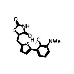 CNc1cccc(-c2ccc(CC3SC(=O)NC3=O)s2)c1C